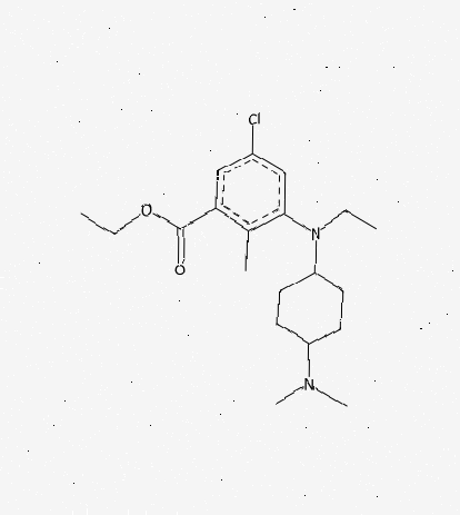 CCOC(=O)c1cc(Cl)cc(N(CC)C2CCC(N(C)C)CC2)c1C